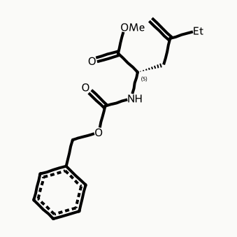 C=C(CC)C[C@H](NC(=O)OCc1ccccc1)C(=O)OC